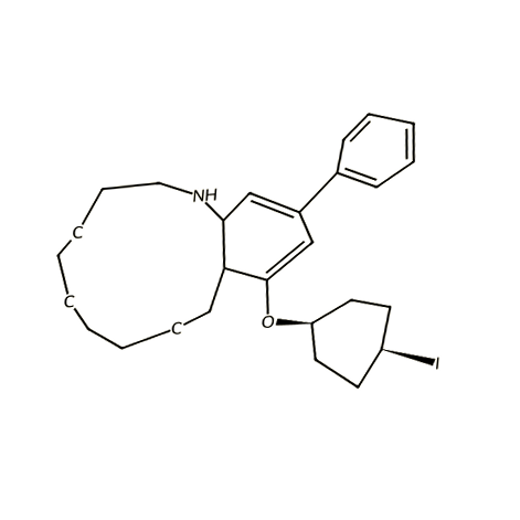 I[C@H]1CC[C@@H](OC2=CC(c3ccccc3)=CC3NCCCCCCCCCC23)CC1